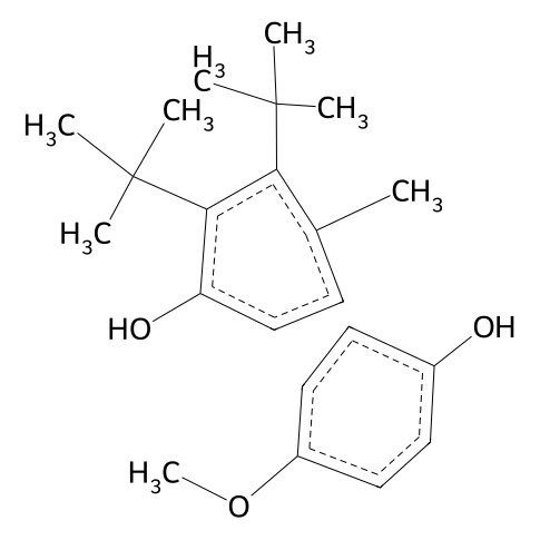 COc1ccc(O)cc1.Cc1ccc(O)c(C(C)(C)C)c1C(C)(C)C